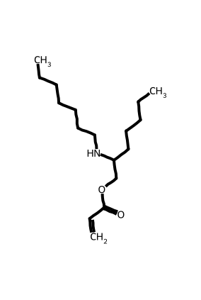 C=CC(=O)OCC(CCCCC)NCCCCCCC